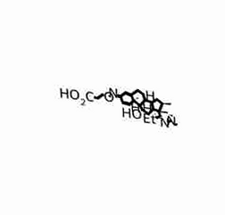 CC/C(=N/N(C)C)[C@@]1(C)[C@H](C)C[C@H]2[C@@H]3CCC4=C/C(=N/OCCC(=O)O)C=C[C@]4(C)[C@H]3[C@@H](O)C[C@@]21C